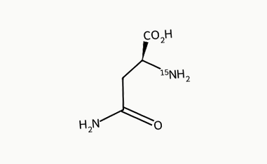 NC(=O)C[C@H]([15NH2])C(=O)O